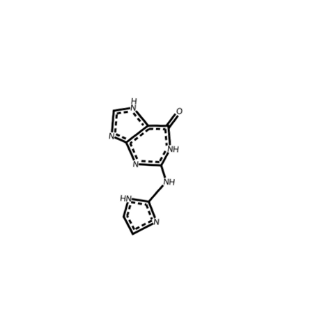 O=c1[nH]c(Nc2ncc[nH]2)nc2nc[nH]c12